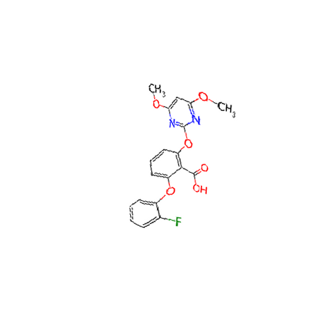 COc1cc(OC)nc(Oc2cccc(Oc3ccccc3F)c2C(=O)O)n1